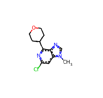 Cn1cnc2c(C3CCOCC3)nc(Cl)cc21